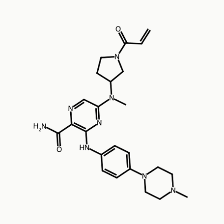 C=CC(=O)N1CCC(N(C)c2cnc(C(N)=O)c(Nc3ccc(N4CCN(C)CC4)cc3)n2)C1